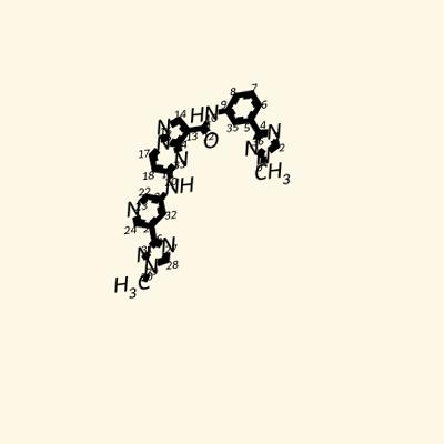 Cn1cnc(-c2cccc(NC(=O)c3cnn4ccc(Nc5cncc(-c6ncn(C)n6)c5)nc34)c2)n1